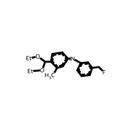 CCOC(OCC)c1ccc(Nc2cccc(CF)c2)cc1C